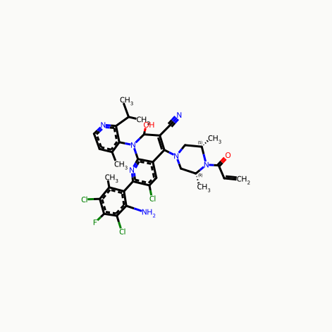 C=CC(=O)N1[C@H](C)CN(C2=C(C#N)C(O)N(c3c(C)ccnc3C(C)C)c3nc(-c4c(C)c(Cl)c(F)c(Cl)c4N)c(Cl)cc32)C[C@@H]1C